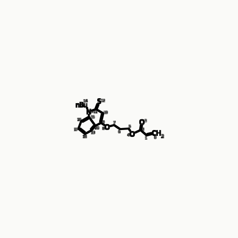 C=CC(=O)OCCCOc1cc(=S)n(CCCC)c2ccccc12